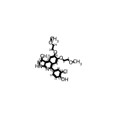 COCCOc1cc2c(-c3ccc(O)c(Cl)c3)nc3[nH]nc(C)c3c2cc1OCCOC